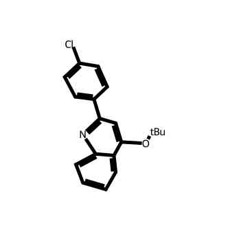 CC(C)(C)Oc1cc(-c2ccc(Cl)cc2)nc2ccccc12